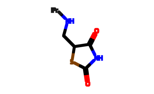 CC(C)NCC1SC(=O)NC1=O